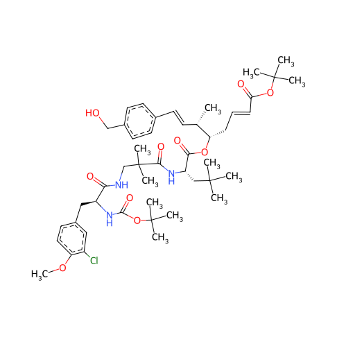 COc1ccc(C[C@H](NC(=O)OC(C)(C)C)C(=O)NCC(C)(C)C(=O)N[C@@H](CC(C)(C)C)C(=O)O[C@@H](C/C=C/C(=O)OC(C)(C)C)[C@@H](C)/C=C/c2ccc(CO)cc2)cc1Cl